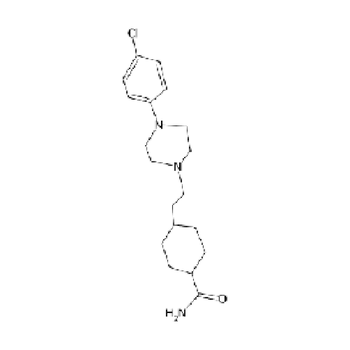 NC(=O)C1CCC(CCN2CCN(c3ccc(Cl)cc3)CC2)CC1